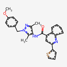 COc1ccc(Cn2nc(C)c(NC(=O)c3cc(-c4cccs4)nc4ccccc34)c2C)cc1